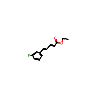 CCOC(=O)/C=C/C=C/c1cccc(F)c1